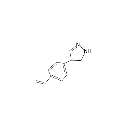 C=Cc1ccc(-c2cn[nH]c2)cc1